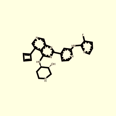 O[C@@H]1CNCC[C@H]1Nc1nc(-c2ccnc(Nc3ncccc3F)c2)nc2cncc(C3=CC=C3)c12